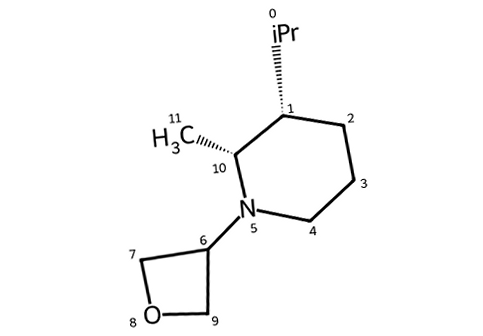 CC(C)[C@@H]1CCCN(C2COC2)[C@@H]1C